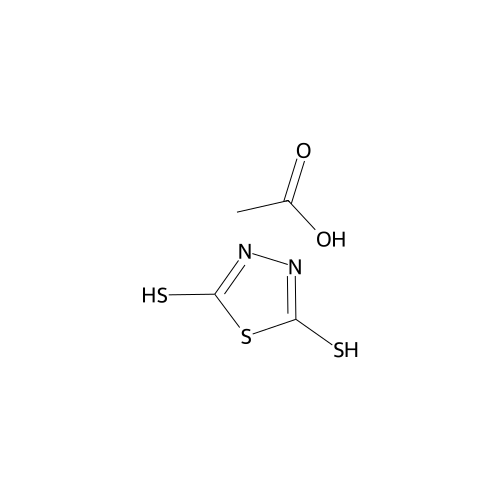 CC(=O)O.Sc1nnc(S)s1